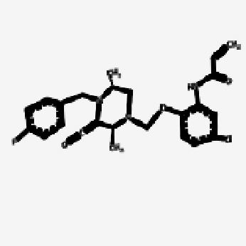 C=CC(=O)Nc1cc(Cl)ccc1OCN1C[C@@H](C)N(Cc2ccc(F)cc2)C(=C=O)[C@@H]1C